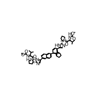 COC(=O)N[C@H](C(=O)N1CCC[C@H]1c1ncc(-c2ccc(-c3ccc4cc(-c5cnc([C@@H]6CCCN6C(=O)[C@H](NC(=O)OC)C(C)C)[nH]5)ccc4c3)c3c2C2CCC3C2)[nH]1)C(C)C